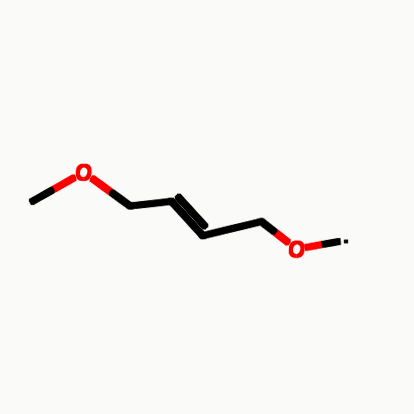 [CH2]OCC=CCOC